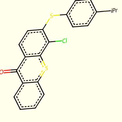 CC(C)c1ccc(Sc2ccc3c(=O)c4ccccc4sc3c2Cl)cc1